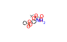 COC(=O)CC(N)(C(=O)OC(C)(C)C)c1ccc(OS(=O)(=O)c2ccccc2)cc1